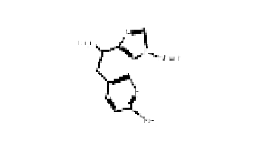 CCCCCn1cnc(C(Cc2ccc(N)nc2)C(=O)O)c1